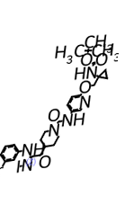 CC(C)(C)OC(=O)NC1(COc2ccc(NC(=O)N3CCC(C(=O)/C(=N/I)Nc4ccc(F)c(Br)c4)CC3)cn2)CC1